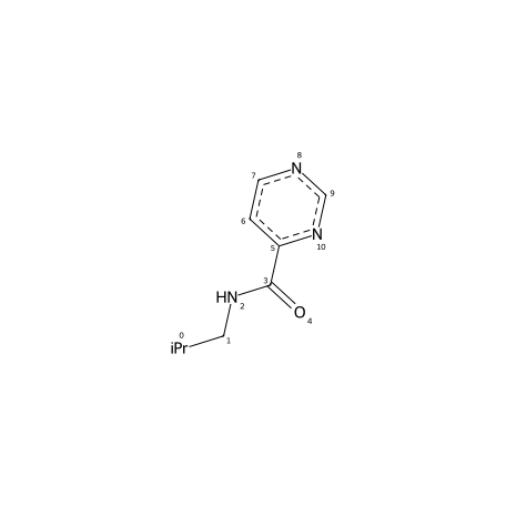 CC(C)CNC(=O)c1ccncn1